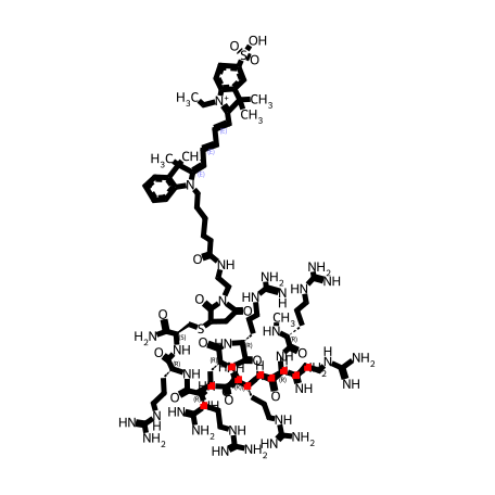 CC[N+]1=C(/C=C/C=C/C=C2/N(CCCCCC(=O)NCCN3C(=O)CC(SC[C@@H](NC(=O)[C@@H](CCCNC(=N)N)NC(=O)[C@@H](CCCNC(=N)N)NC(=O)[C@@H](CCCNC(=N)N)NC(=O)[C@@H](CCCNC(=N)N)NC(=O)[C@@H](CCCNC(=N)N)NC(=O)[C@@H](CCCNC(=N)N)NC(=O)[C@@H](CCCNC(=N)N)NC(=O)[C@@H](CCCNC(=N)N)NC)C(N)=O)C3=O)c3ccccc3C2(C)C)C(C)(C)c2cc(S(=O)(=O)O)ccc21